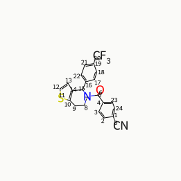 N#Cc1ccc(C(=O)N2CCc3sccc3C2c2ccc(C(F)(F)F)cc2)cc1